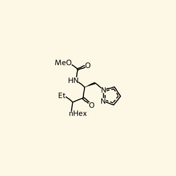 CCCCCCC(CC)C(=O)[C@H](Cn1cccn1)NC(=O)OC